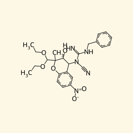 CCOC(OCC)C1(C)Oc2ccc([N+](=O)[O-])cc2C(N(C#N)C(=N)NCc2ccccc2)C1O